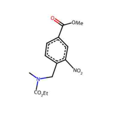 CCOC(=O)N(C)Cc1ccc(C(=O)OC)cc1[N+](=O)[O-]